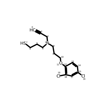 C#CCN(CCCS)CCCOc1ccc(Cl)cc1Cl